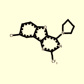 FC(F)(F)c1nc(N2CCCC2)c2oc3ccc(Cl)cc3c2n1